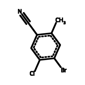 Cc1cc(Br)c(Cl)cc1C#N